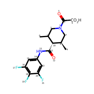 CC1CN(C(=O)C(=O)O)C[C@@H](C)[C@@H]1C(=O)Nc1cc(F)c(F)c(F)c1